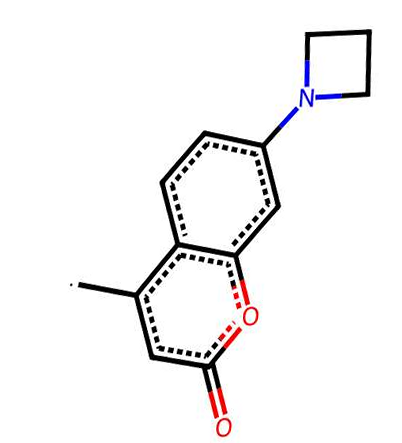 [CH2]c1cc(=O)oc2cc(N3CCC3)ccc12